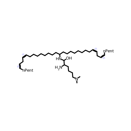 CCCCC/C=C\C/C=C\CCCCCCCCC(CCCCCCCC/C=C\C/C=C\CCCCC)NC(O)C(N)CCCCN(C)C